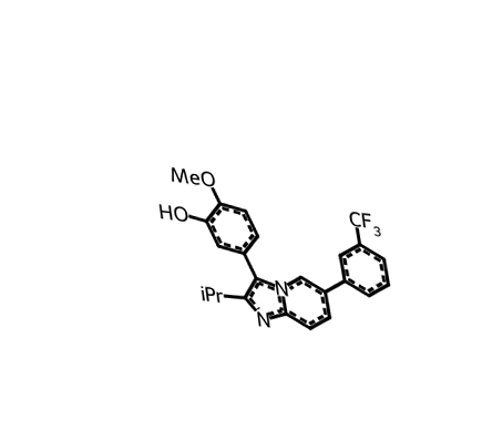 COc1ccc(-c2c(C(C)C)nc3ccc(-c4cccc(C(F)(F)F)c4)cn23)cc1O